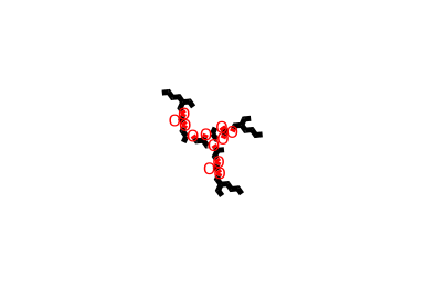 CCCCC(CC)COC(=O)OCC(C)OCC(COC(C)COC(=O)OCC(CC)CCCC)OC(C)COC(=O)OCC(CC)CCCC